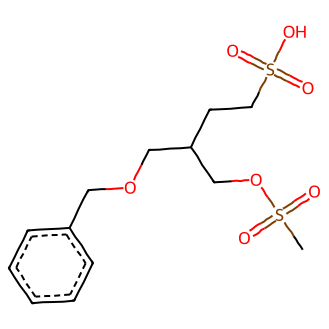 CS(=O)(=O)OCC(CCS(=O)(=O)O)COCc1ccccc1